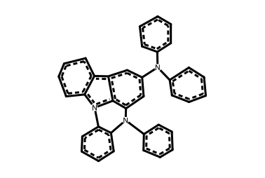 c1ccc(N(c2ccccc2)c2cc3c4c(c2)c2ccccc2n4-c2ccccc2N3c2ccccc2)cc1